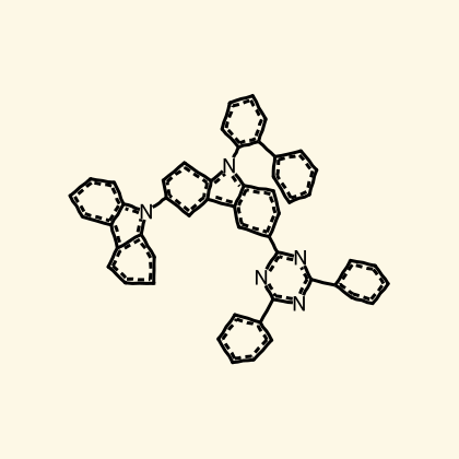 c1ccc(-c2nc(-c3ccccc3)nc(-c3ccc4c(c3)c3cc(-n5c6ccccc6c6ccccc65)ccc3n4-c3ccccc3-c3ccccc3)n2)cc1